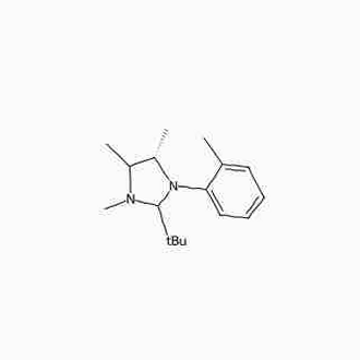 Cc1ccccc1N1C(C(C)(C)C)N(C)C(C)[C@@H]1C